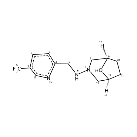 FC(F)(F)c1ccc(CNN2C[C@H]3CC[C@@H](C2)O3)nc1